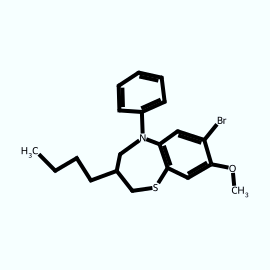 CCCCC1CSc2cc(OC)c(Br)cc2N(c2ccccc2)C1